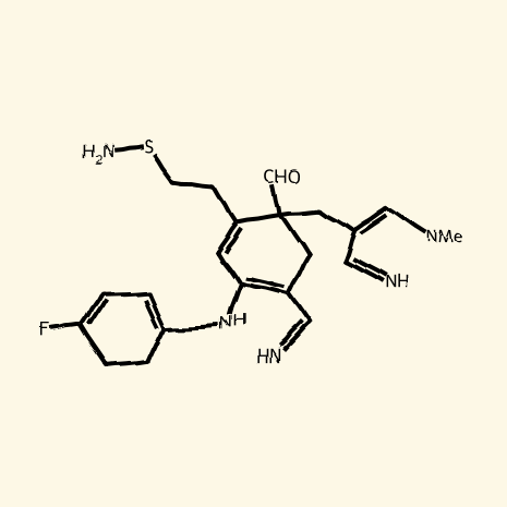 CN/C=C(\C=N)CC1(C=O)CC(C=N)=C(NC2=CC=C(F)CC2)C=C1CCSN